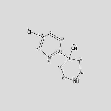 N#CC1(c2ccc(Cl)cn2)CCNCC1